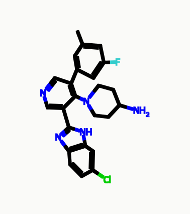 Cc1cc(F)cc(-c2cncc(-c3nc4ccc(Cl)cc4[nH]3)c2N2CCC(N)CC2)c1